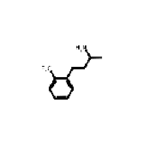 CC(N)CCc1ccccc1C(F)(F)F